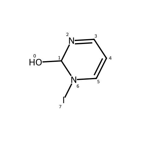 OC1N=CC=CN1I